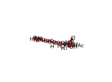 CC(=O)N[C@H]1[C@H]([C@H](O)[C@H](O)CNC(=O)Cc2ccc(Cl)cc2)O[C@@](OCCOCCOCCNC(=O)CCOCCOCCOCCOCCNC(=O)CCOCCOCCOCCOCCNC(=O)CCCC[C@H]2SC[C@H]3NC(=O)N[C@H]32)(C(=O)O)C[C@@H]1O